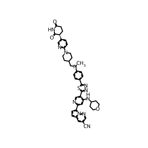 CN(CC1CCN(c2ccc([C@@H]3CCC(=O)NC3=O)cn2)CC1)c1ccc(-c2nnc(-c3cnc(-c4ccc5cc(C#N)cnn45)cc3NC3CCOCC3)s2)cc1